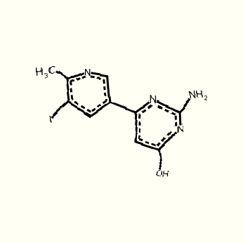 Cc1ncc(-c2cc(O)nc(N)n2)cc1I